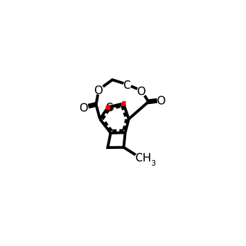 CC1Cc2c3c4c(c(c21)C(=O)OCCOC3=O)CC4